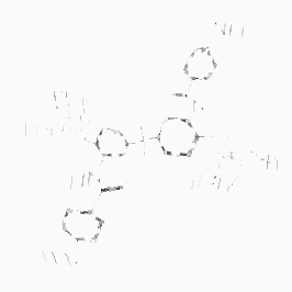 CC(C)O[Si](Oc1ccc(C(C)(C)c2ccc(O[Si](OC(C)C)(OC(C)C)OC(C)C)c(NC(=O)c3ccc(N)cc3)c2)cc1NC(=O)c1ccc(N)cc1)(OC(C)C)OC(C)C